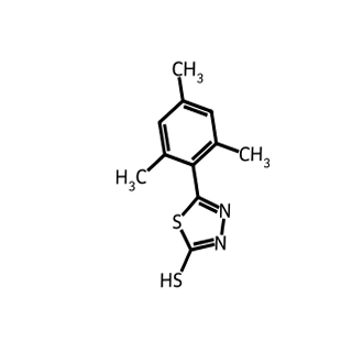 Cc1cc(C)c(-c2nnc(S)s2)c(C)c1